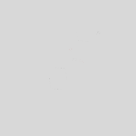 CC(C)C(C)C(C)OC(=O)C1CC2CC1C(C)C2C